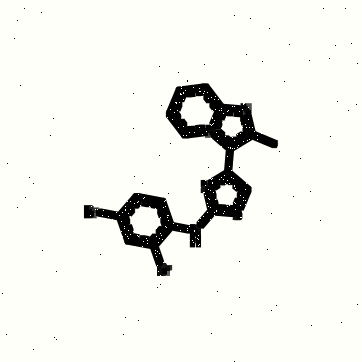 Cc1nc2ccccn2c1-c1csc(Nc2ccc(Br)cc2Br)n1